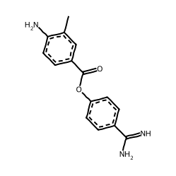 Cc1cc(C(=O)Oc2ccc(C(=N)N)cc2)ccc1N